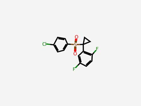 O=S(=O)(c1ccc(Cl)cc1)C1(c2cc(F)ccc2F)CC1